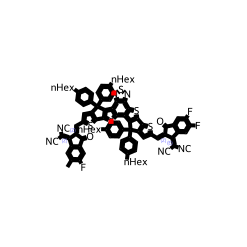 [C-]#[N+]/C(C#N)=C1\C(=C\c2cc3c(s2)-c2sc4c(c2C3(c2ccc(CCCCCC)cc2)c2ccc(CCCCCC)cc2)c2nsnc2c2sc3c(c24)C(c2ccc(CCCCCC)cc2)(c2ccc(CCCCCC)cc2)c2cc(/C=C4\C(=O)c5cc(F)c(F)cc5\C4=C(\C#N)[N+]#[C-])sc2-3)C(=O)c2cc(F)c(C)cc21